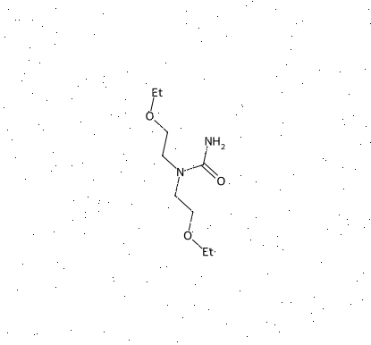 C[CH]OCCN(CCOCC)C(N)=O